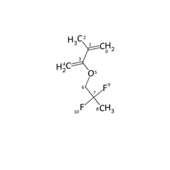 C=C(C)C(=C)OCC(C)(F)F